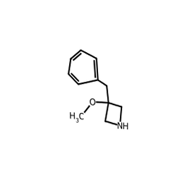 COC1(Cc2ccccc2)CNC1